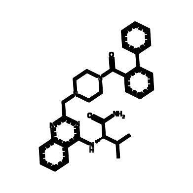 CC(C)[C@H](Nc1nc(CN2CCN(C(=O)c3ccccc3-c3ccccc3)CC2)nc2ccccc12)C(N)=O